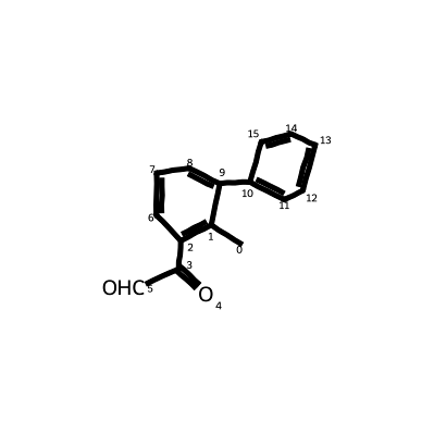 Cc1c(C(=O)C=O)cccc1-c1ccccc1